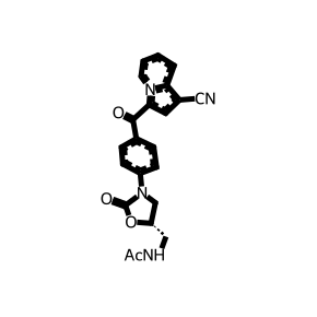 CC(=O)NC[C@H]1CN(c2ccc(C(=O)c3cc(C#N)c4ccccn34)cc2)C(=O)O1